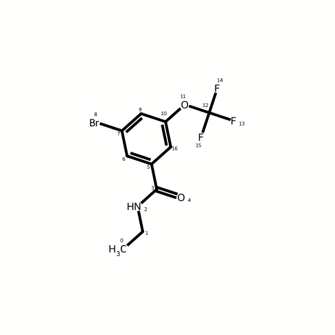 CCNC(=O)c1cc(Br)cc(OC(F)(F)F)c1